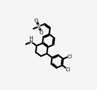 CNC1CCC(c2ccc(Cl)c(Cl)c2)c2ccc(/C=C\S(C)(=O)=O)cc21